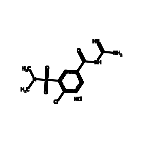 CN(C)S(=O)(=O)c1cc(C(=O)NC(=N)N)ccc1Cl.Cl